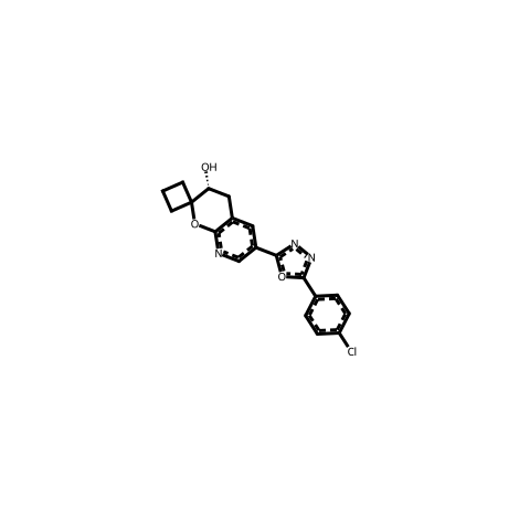 O[C@@H]1Cc2cc(-c3nnc(-c4ccc(Cl)cc4)o3)cnc2OC12CCC2